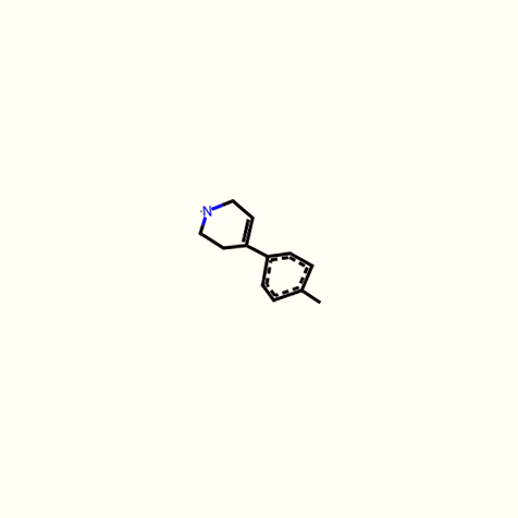 Cc1ccc(C2=CC[N]CC2)cc1